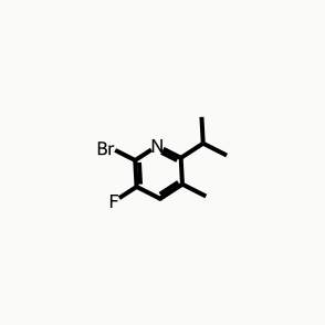 Cc1cc(F)c(Br)nc1C(C)C